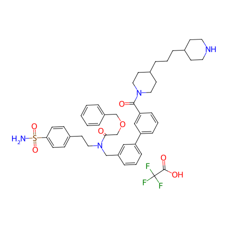 NS(=O)(=O)c1ccc(CCN(Cc2cccc(-c3cccc(C(=O)N4CCC(CCCC5CCNCC5)CC4)c3)c2)C(=O)COCc2ccccc2)cc1.O=C(O)C(F)(F)F